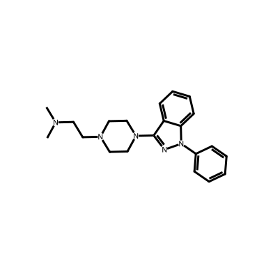 CN(C)CCN1CCN(c2nn(-c3ccccc3)c3ccccc23)CC1